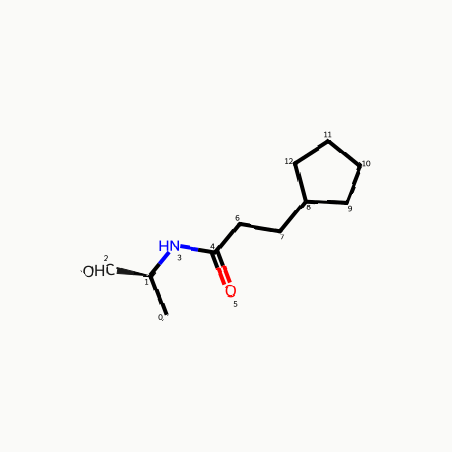 C[C@@H]([C]=O)NC(=O)CCC1CCCC1